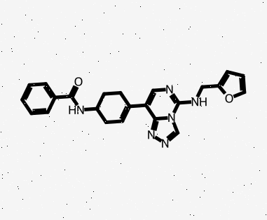 O=C(NC1CC=C(c2cnc(NCc3ccco3)n3cnnc23)CC1)c1ccccc1